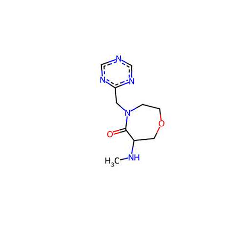 CNC1COCCN(Cc2ncncn2)C1=O